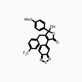 CSc1ccc(C2(O)OC(=O)C(c3ccc4nsnc4c3)=C2Cc2ccc(C(F)(F)F)cc2)cc1